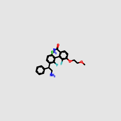 COCCOc1ccc(C(N)=O)c(-c2c(Cl)ccc(C(CN)c3ccccc3)c2F)c1F